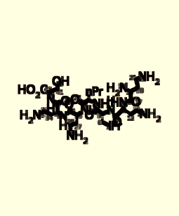 CCC[C@H](NC(=O)[C@@H](CC(C)C)NC(=O)[C@H](CCN)NC(=O)[C@@H](N)CCN)C(=O)N[C@@H](CCN)C(=O)N[C@@H](CCN)C(=O)N[C@@H](CO)C(=O)O